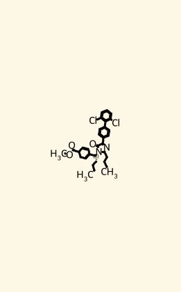 CCCCC1N=C(c2ccc(-c3c(Cl)cccc3Cl)cc2)C(=O)N1[C@H](CCCC)C1=CCC(C(=O)OC)C=C1